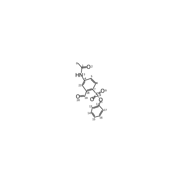 CC(=O)Nc1ccc(S(=O)(=O)Oc2ccccc2)c(C=O)c1